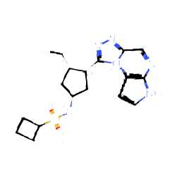 CC[C@@H]1C[C@H](NS(=O)(=O)C2CCC2)C[C@@H]1c1nnc2cnc3[nH]ccc3n12